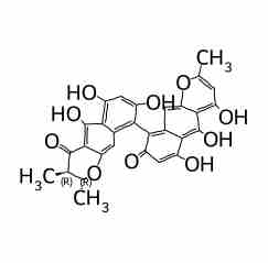 Cc1cc(O)c2c(O)c3c(O)cc(=O)c(-c4c(O)cc(O)c5c(O)c6c(cc45)O[C@H](C)[C@@H](C)C6=O)c3cc2o1